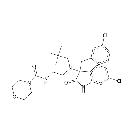 CC(C)(C)CN(CCNC(=O)N1CCOCC1)C1(Cc2cccc(Cl)c2)C(=O)Nc2cc(Cl)ccc21